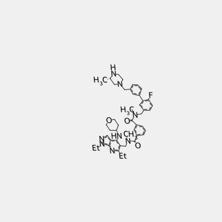 CCc1nc2c(cnn2CC)c(NC2CCOCC2)c1CN(C)C(=O)c1cccc(C(=O)N(C)Cc2ccc(F)c(-c3cccc(CN4CCN[C@@H](C)C4)c3)c2)c1